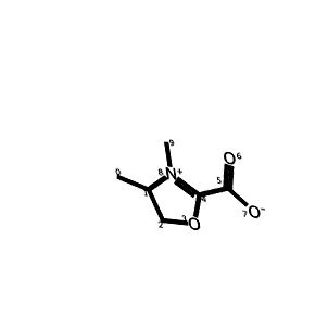 CC1COC(C(=O)[O-])=[N+]1C